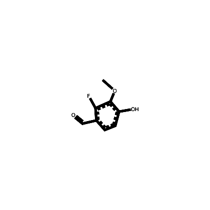 COc1c(O)ccc(C=O)c1F